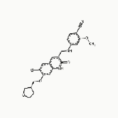 COc1cc(NCc2cc3cc(Cl)c(OC[C@H]4CCOC4)cc3[nH]c2=O)ccc1C#N